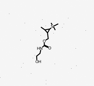 CC1C(COC(=O)NCCO)C1[Si](C)(C)C